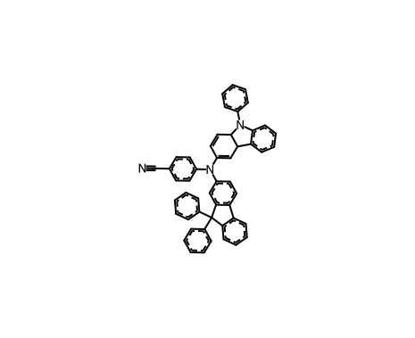 N#Cc1ccc(N(C2=CC3c4ccccc4N(c4ccccc4)C3C=C2)c2ccc3c(c2)C(c2ccccc2)(c2ccccc2)c2ccccc2-3)cc1